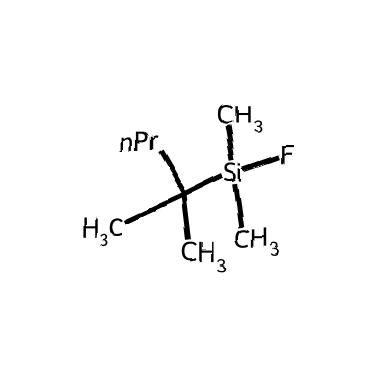 CCCC(C)(C)[Si](C)(C)F